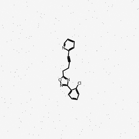 Clc1ccccc1-c1noc(CCC#Cc2ccccn2)n1